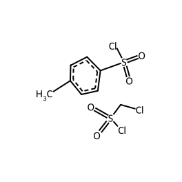 Cc1ccc(S(=O)(=O)Cl)cc1.O=S(=O)(Cl)CCl